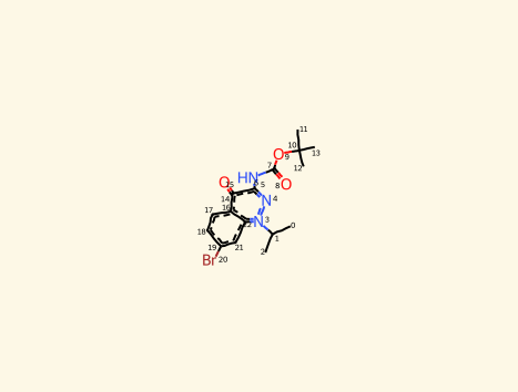 CC(C)n1nc(NC(=O)OC(C)(C)C)c(=O)c2ccc(Br)cc21